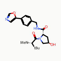 CN[C@H](C(=O)N1C[C@H](O)C[C@H]1C(=O)NCc1ccc(-c2cnco2)cc1)C(C)(C)C